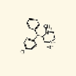 CN1CCNCC1C(c1ccccc1)c1ccccc1.Cl.Cl